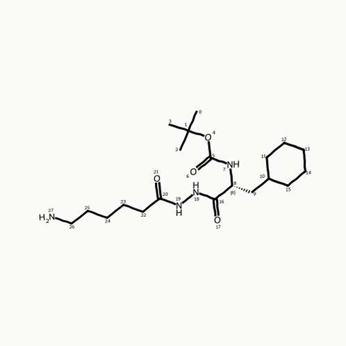 CC(C)(C)OC(=O)N[C@H](CC1CCCCC1)C(=O)NNC(=O)CCCCCN